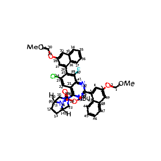 COCOc1cc(-c2nc(N3C[C@H]4CC[C@@H](C3)N4C(=O)OC(C)(C)C)c3cc(Cl)c(-c4cc(OCOC)cc5ccccc45)c(F)c3n2)c2ccccc2c1